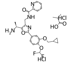 CC(C)C(=O)O.C[C@H](N)c1oc(-c2ccc(OC(F)F)c(OCC3CC3)c2)nc1CNC(=O)c1ccccn1.Cl.Cl